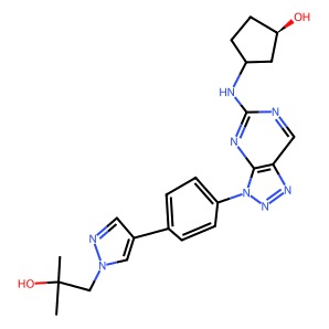 CC(C)(O)Cn1cc(-c2ccc(-n3nnc4cnc(NC5CC[C@@H](O)C5)nc43)cc2)cn1